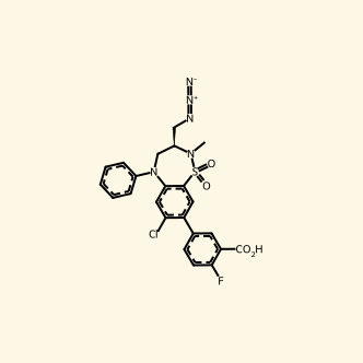 CN1[C@H](CN=[N+]=[N-])CN(c2ccccc2)c2cc(Cl)c(-c3ccc(F)c(C(=O)O)c3)cc2S1(=O)=O